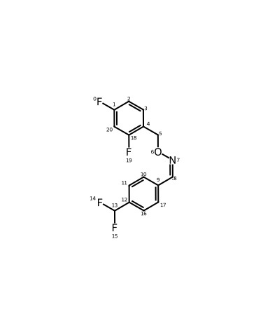 Fc1ccc(CO/N=[C]\c2ccc(C(F)F)cc2)c(F)c1